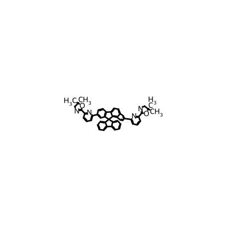 CC1(C)CN=C(c2cccc(-c3ccc4c(c3)C3(c5ccccc5-c5ccccc53)c3c-4ccc4cc(-c5cccc(C6=NCC(C)(C)O6)n5)ccc34)n2)O1